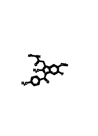 CCCNC(=O)Cc1c(C)n(C(=O)c2ccc(C)cc2)c2cc(F)c(OC)cc12